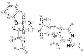 CCNc1nc(C)nc2c1ncn2[C@@H]1O[C@H](COP(=O)(N[C@H](C)C(=O)OC(C)C)Oc2ccccc2)[C@@H](O)[C@@]1(C)F